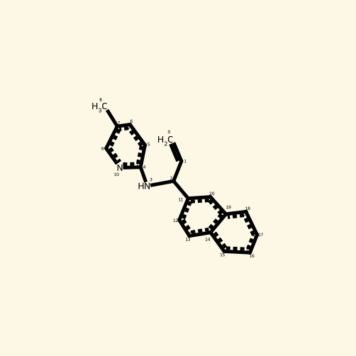 C=CC(Nc1ccc(C)cn1)c1ccc2ccccc2c1